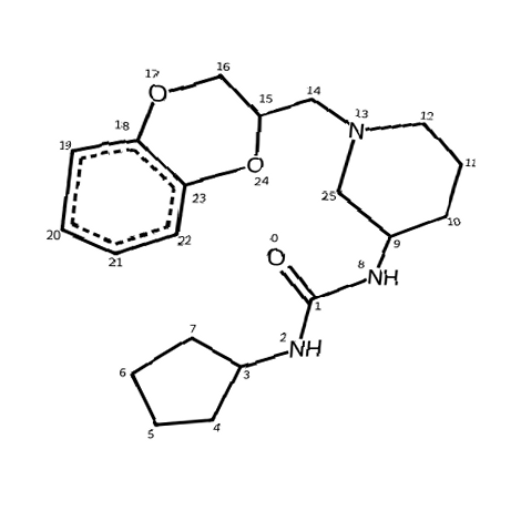 O=C(NC1CCCC1)NC1CCCN(CC2COc3ccccc3O2)C1